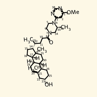 COc1cc(N2CCN(C(=O)CCC(C)[C@H]3CC[C@H]4[C@@H]5CC=C6C[C@@H](O)CC[C@]6(C)[C@H]5CC[C@]34C)C[C@@H]2C)ncn1